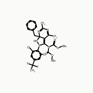 CC(C)(C)OC(=O)N(C(=O)OC(C)(C)C)C1=C2C(C(F)(F)F)=NC(C(F)(F)F)=NC2(Cc2ccccc2)NN1c1c(Cl)cc(C(C)(F)F)cc1Cl